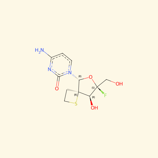 Nc1ccn([C@@H]2O[C@](F)(CO)[C@@H](O)[C@]23CCS3)c(=O)n1